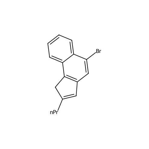 CCCC1=Cc2cc(Br)c3ccccc3c2C1